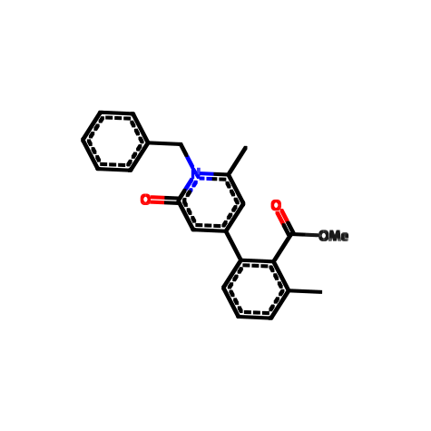 COC(=O)c1c(C)cccc1-c1cc(C)n(Cc2ccccc2)c(=O)c1